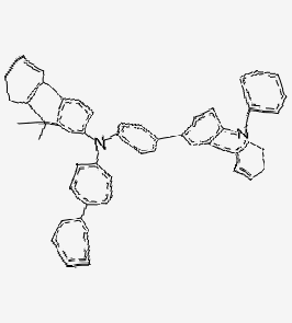 CC1(C)C2=C(C=CCC2)c2ccc(N(c3ccc(-c4ccccc4)cc3)c3ccc(-c4ccc5c(c4)c4c(n5-c5ccccc5)CCC=C4)cc3)cc21